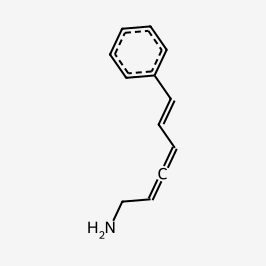 NCC=C=CC=Cc1ccccc1